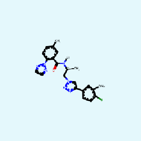 CCN(C(=O)c1cc(C)ccc1-n1nccn1)[C@@H](C)Cn1cc(-c2ccc(F)c(OC)c2)nn1